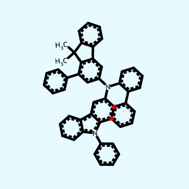 CC1(C)c2ccccc2-c2cc(N(c3ccc4c(c3)c3ccccc3n4-c3ccccc3)c3ccccc3-c3ccccc3)cc(-c3ccccc3)c21